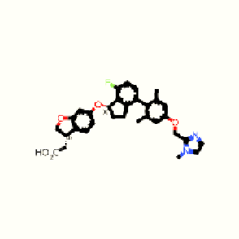 Cc1cc(OCc2nccn2C)cc(C)c1-c1ccc(F)c2c1CC[C@H]2Oc1ccc2c(c1)OC[C@H]2CC(=O)O